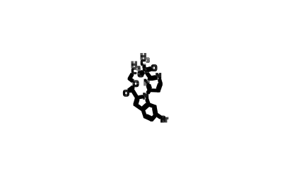 CCOC(=O)c1cc2ccc(Br)cc2n1-c1ccnc(S(C)(=O)=O)n1